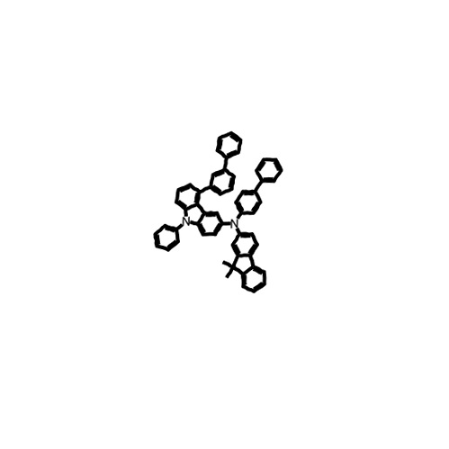 CC1(C)c2ccccc2-c2ccc(N(c3ccc(-c4ccccc4)cc3)c3ccc4c(c3)c3c(-c5cccc(-c6ccccc6)c5)cccc3n4-c3ccccc3)cc21